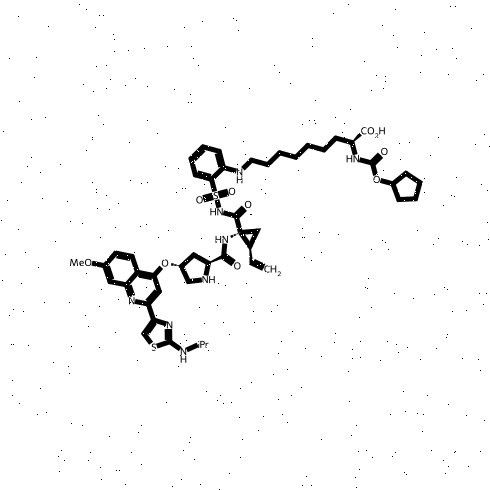 C=C[C@@H]1C[C@]1(NC(=O)[C@@H]1C[C@@H](Oc2cc(-c3csc(NC(C)C)n3)nc3cc(OC)ccc23)CN1)C(=O)NS(=O)(=O)c1ccccc1NCCCCCCC[C@H](NC(=O)OC1CCCC1)C(=O)O